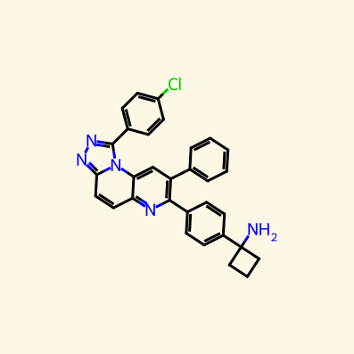 NC1(c2ccc(-c3nc4ccc5nnc(-c6ccc(Cl)cc6)n5c4cc3-c3ccccc3)cc2)CCC1